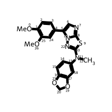 COc1ccc(-c2cnc3sc(N(C)c4ccc5c(c4)OCO5)nn23)cc1OC